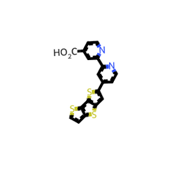 O=C(O)c1ccnc(-c2cc(-c3cc4sc5ccsc5c4s3)ccn2)c1